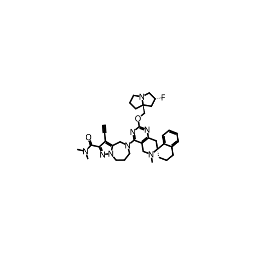 C#Cc1c(C(=O)N(C)C)nn2c1CN(c1nc(OC[C@@]34CCCN3C[C@H](F)C4)nc3c1CN(C)[C@@]1(CCCc4ccccc41)C3)CCC2